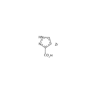 O=C(O)c1cc[nH]n1.[Zr]